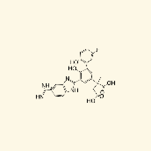 CC(CC(=O)O)(C(=O)O)c1cc(-c2nc3cc(C(=N)N)ccc3[nH]2)c(O)c(-c2cc(F)ccc2O)c1